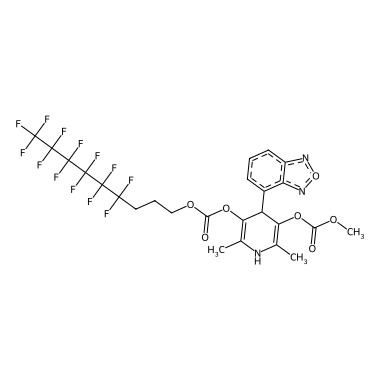 COC(=O)OC1=C(C)NC(C)=C(OC(=O)OCCCC(F)(F)C(F)(F)C(F)(F)C(F)(F)C(F)(F)C(F)(F)F)C1c1cccc2nonc12